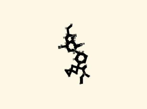 C=CN(C)C(=C)C1(c2cccc(-n3cc(Br)c4cc(CC)[nH]c4c3=O)c2)CC2(CC2)C1